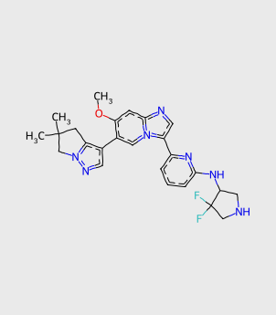 COc1cc2ncc(-c3cccc(NC4CNCC4(F)F)n3)n2cc1-c1cnn2c1CC(C)(C)C2